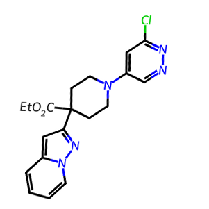 CCOC(=O)C1(c2cc3ccccn3n2)CCN(c2cnnc(Cl)c2)CC1